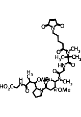 CCC(C)C([C@@H](CC(=O)N1CCCC1C(OC)C(C)C(=O)NCC(=O)O)OC)N(C)C(=O)CNC(=O)C(C)(C)N(C)C(=O)CCCCN1C(=O)C=CC1=O